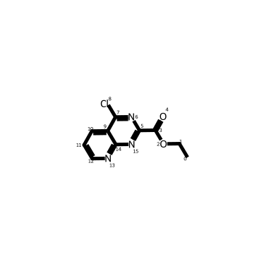 CCOC(=O)c1nc(Cl)c2cccnc2n1